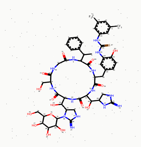 CC(c1ccccc1)C1NC(=O)CNC(=O)C(CO)NC(=O)C(C(O)C2CNC(=N)N2C2OC(CO)C(O)C(O)C2O)NC(=O)C(C(O)C2CNC(=N)N2)NC(=O)C(Cc2ccc(O)c(NC(=S)Nc3cc(C(F)(F)F)cc(C(F)(F)F)c3)c2)NC1=O